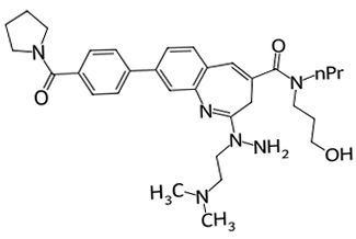 CCCN(CCCO)C(=O)C1=Cc2ccc(-c3ccc(C(=O)N4CCCC4)cc3)cc2N=C(N(N)CCN(C)C)C1